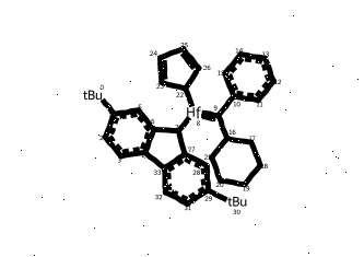 CC(C)(C)c1ccc2c(c1)[CH]([Hf](=[C](c1ccccc1)C1CCCCC1)[CH]1C=CC=C1)c1cc(C(C)(C)C)ccc1-2